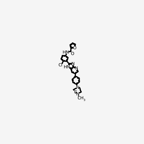 CN1CCN(c2ccc(-c3cnc4nc(-c5cc(NC(=O)c6ccco6)ccc5Cl)[nH]c4c3)cc2)CC1